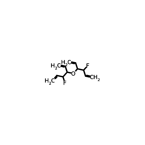 C=CC(F)C(C=C)OC(C=C)C(F)C=C